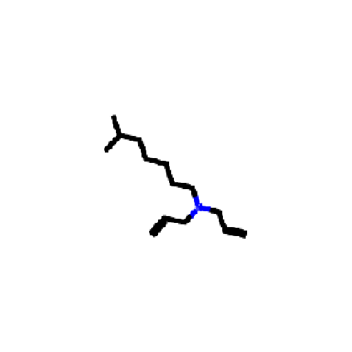 C=CCN(CC=C)CCCCCC(C)C